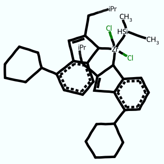 CC(C)CC1=Cc2c(C3CCCCC3)cccc2[CH]1[Zr]([Cl])([Cl])([CH]1C(CC(C)C)=Cc2c(C3CCCCC3)cccc21)[SiH](C)C